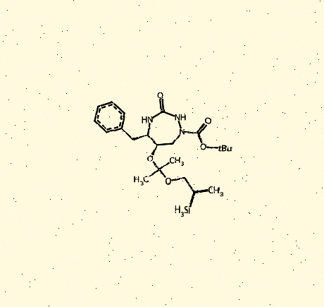 CC([SiH3])COC(C)(C)O[C@@H]1CN(C(=O)OC(C)(C)C)NC(=O)N[C@@H]1Cc1ccccc1